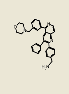 NCc1ccc(-c2nc3ccnc(-c4cccc(CN5CCOCC5)c4)c3cc2-c2ccccc2)cc1